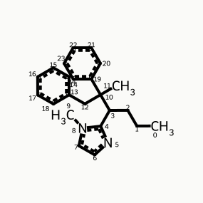 CCCC(c1nccn1C)C(C)(Cc1ccccc1)c1ccccc1